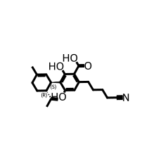 C=C(C)[C@@H]1CCC(C)=C[C@H]1c1c(O)cc(CCCCC#N)c(C(=O)O)c1O